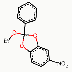 CCOC1(c2ccccc2)Oc2ccc([N+](=O)[O-])cc2O1